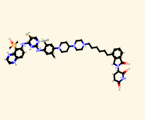 COc1cc(N2CCC(N3CCN(CCCCCCc4cccc5c4CN(C4CCC(=O)NC4=O)C5=O)CC3)CC2)c(C)cc1Nc1ncc(Br)c(Nc2ccc3nccnc3c2P(C)(C)=O)n1